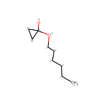 CCCCCCOC1([O])CC1